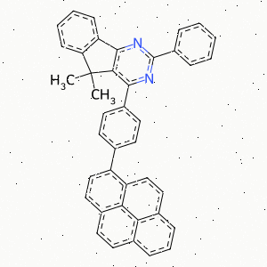 CC1(C)c2ccccc2-c2nc(-c3ccccc3)nc(-c3ccc(-c4ccc5ccc6cccc7ccc4c5c67)cc3)c21